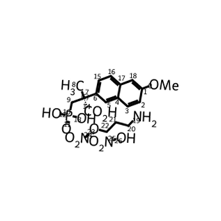 COc1ccc2cc([C@](C)(CP(=O)(O)O)C(=O)O)ccc2c1.NCCCO[N+](=O)[O-].O=[N+]([O-])O